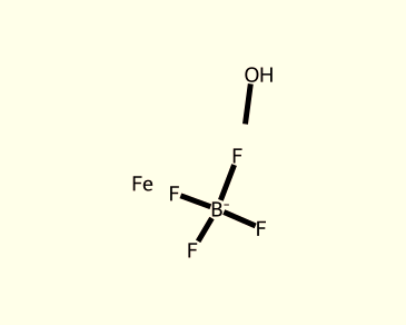 CO.F[B-](F)(F)F.[Fe]